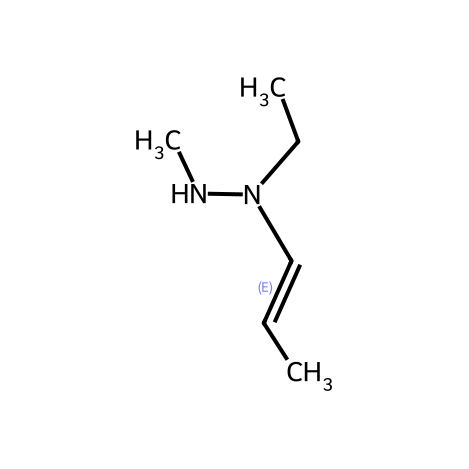 C/C=C/N(CC)NC